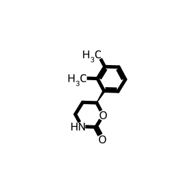 Cc1cccc([C@@H]2CCNC(=O)O2)c1C